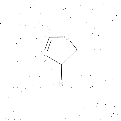 BrC1[C]OC=N1